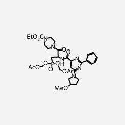 CCOC(=O)N1CCN(C(=O)C(CP(=O)(OCOC(C)=O)OCOC(C)=O)NC(=O)c2cc(N3CCC(OC)C3)nc(-c3ccccc3)n2)CC1